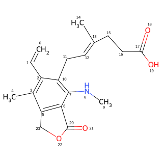 C=Cc1c(C)c2c(c(NC)c1C/C=C(\C)CCC(=O)O)C(=O)OC2